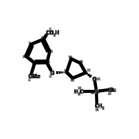 COc1ccc(C(=O)O)cc1O[C@@H]1CC[C@H](O[Si](C)(C)C(C)(C)C)C1